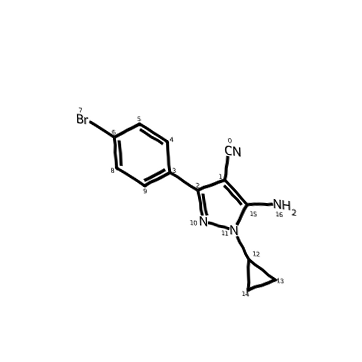 N#Cc1c(-c2ccc(Br)cc2)nn(C2CC2)c1N